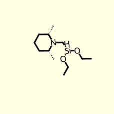 CCO[SiH](CN1[C@H](C)CCC[C@@H]1C)OCC